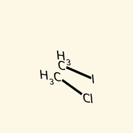 CCl.CI